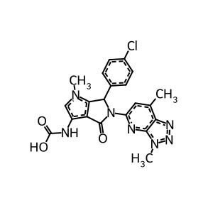 Cc1cc(N2C(=O)c3c(NC(=O)O)cn(C)c3C2c2ccc(Cl)cc2)nc2c1nnn2C